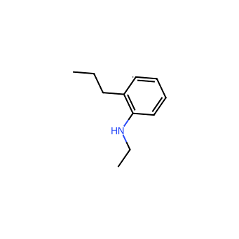 CCCc1[c]cccc1NCC